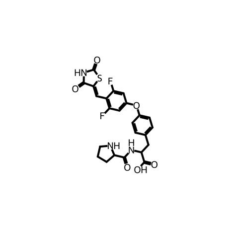 O=C1NC(=O)C(=Cc2c(F)cc(Oc3ccc(CC(NC(=O)C4CCCN4)C(=O)O)cc3)cc2F)S1